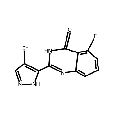 O=c1[nH]c(-c2[nH]ncc2Br)nc2cccc(F)c12